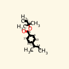 C=CC(C)(C)OC(=O)c1ccc(C(C)CC)cc1